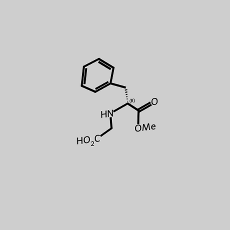 COC(=O)[C@@H](Cc1ccccc1)NCC(=O)O